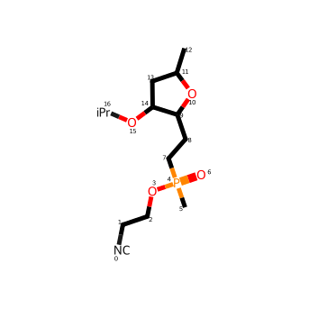 [C-]#[N+]CCOP(C)(=O)CCC1OC(C)CC1OC(C)C